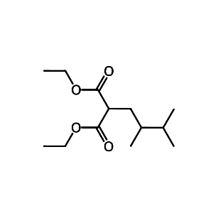 CCOC(=O)C(CC(C)C(C)C)C(=O)OCC